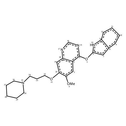 COc1cc2c(Oc3cc4ccccc4[nH]3)ncnc2cc1OCCCN1CCCCC1